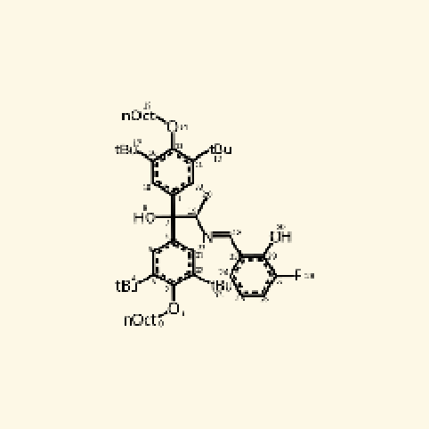 CCCCCCCCOc1c(C(C)(C)C)cc(C(O)(c2cc(C(C)(C)C)c(OCCCCCCCC)c(C(C)(C)C)c2)C(C)N=Cc2cccc(F)c2O)cc1C(C)(C)C